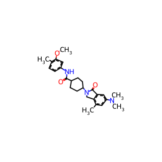 COc1cc(NC(=O)C2CCC(N3Cc4c(C)cc(N(C)C)cc4C3=O)CC2)ccc1C